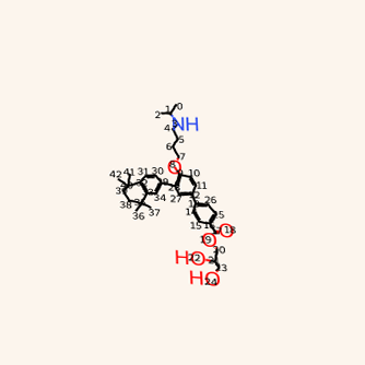 CC(C)NCCCCOc1ccc(-c2ccc(C(=O)OCC(O)CO)cc2)cc1-c1ccc2c(c1)C(C)(C)CCC2(C)C